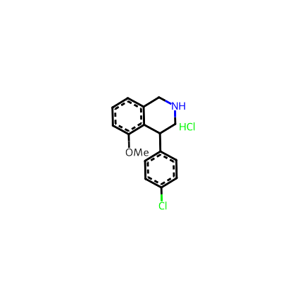 COc1cccc2c1C(c1ccc(Cl)cc1)CNC2.Cl